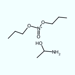 CC(N)O.CCCO[N+](=O)OCCC